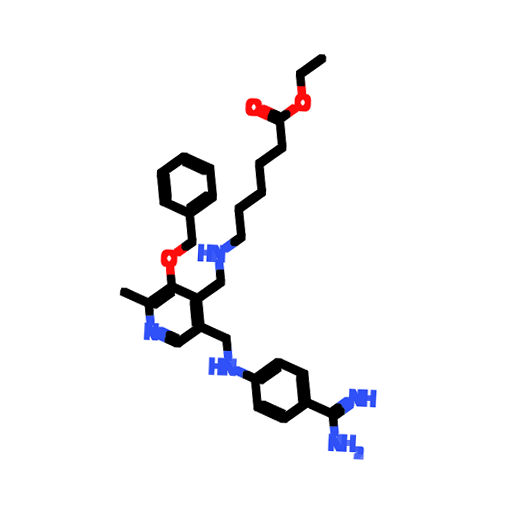 CCOC(=O)CCCCCNCc1c(CNc2ccc(C(=N)N)cc2)cnc(C)c1OCc1ccccc1